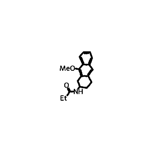 CCC(=O)NC1CCc2cc3ccccc3c(OC)c2C1